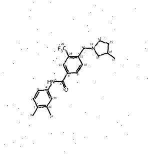 Cc1ccc(NC(=O)c2ccc(CN3CCC(C)C3)c(C(F)(F)F)c2)cc1C